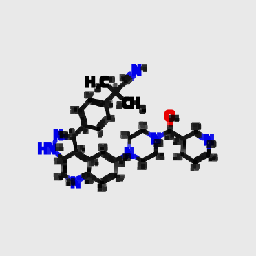 CC(C)(C#N)c1ccc(-c2n[nH]c3cnc4ccc(N5CCN(C(=O)c6cccnc6)CC5)cc4c23)cc1